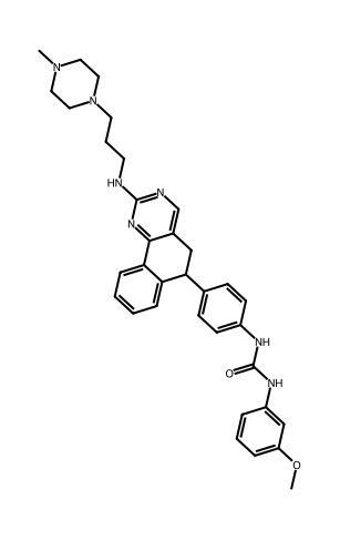 COc1cccc(NC(=O)Nc2ccc(C3Cc4cnc(NCCCN5CCN(C)CC5)nc4-c4ccccc43)cc2)c1